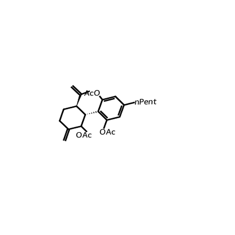 C=C1CC[C@@H](C(=C)C)[C@H](c2c(OC(C)=O)cc(CCCCC)cc2OC(C)=O)C1OC(C)=O